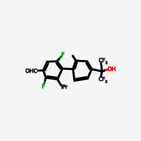 Cc1cc(C(O)(C(F)(F)F)C(F)(F)F)ccc1-c1c(F)cc(C=O)c(F)c1C(C)C